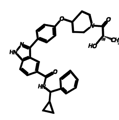 C[C@H](O)C(=O)N1CCC(Oc2ccc(-c3n[nH]c4ccc(C(=O)NC(c5ccccc5)C5CC5)cc34)cc2)CC1